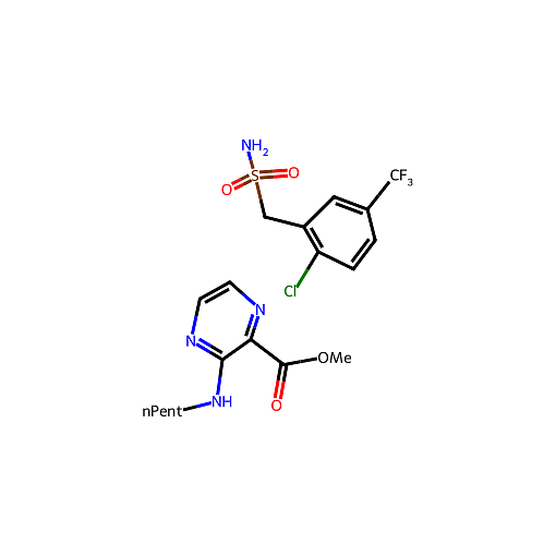 CCCCCNc1nccnc1C(=O)OC.NS(=O)(=O)Cc1cc(C(F)(F)F)ccc1Cl